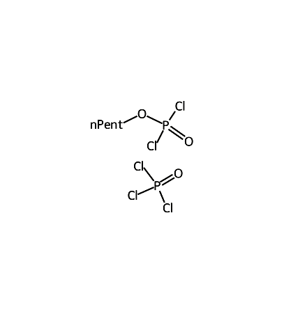 CCCCCOP(=O)(Cl)Cl.O=P(Cl)(Cl)Cl